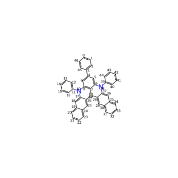 c1ccc(-c2cc3c4c(c2)N(c2ccccc2)c2cc5ccccc5cc2B4c2cc4ccccc4cc2N3c2ccccc2)cc1